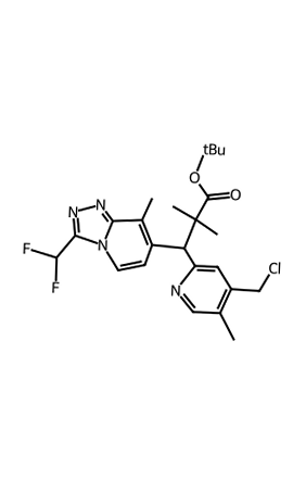 Cc1cnc(C(c2ccn3c(C(F)F)nnc3c2C)C(C)(C)C(=O)OC(C)(C)C)cc1CCl